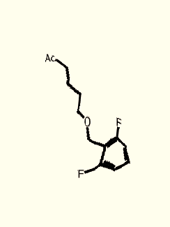 CC(=O)CCCCOCc1c(F)cccc1F